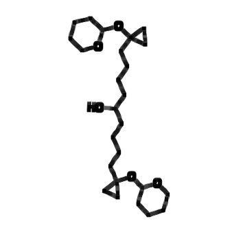 OC(CCCCC1(OC2CCCCO2)CC1)CCCCC1(OC2CCCCO2)CC1